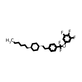 CCCCCC[C@H]1CC[C@H](CCc2ccc(C(F)(F)Oc3cc(F)c(F)c(F)c3)cc2)CC1